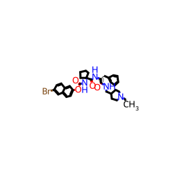 CCN1CCC(CNC(=O)[C@@H](Cc2ccccc2)NC(=O)C2(NC(=O)Oc3ccc4cc(Br)ccc4c3)CCCC2)CC1